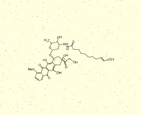 CCCCCCCC/C=C/CCCCCCCC(=O)NNC1CC(O[C@H]2C[C@](O)(C(=O)CO)Cc3c(O)c4c(c(O)c32)C(=O)c2c(OC)cccc2C4=O)OC(C)C1O